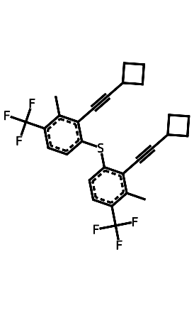 Cc1c(C(F)(F)F)ccc(Sc2ccc(C(F)(F)F)c(C)c2C#CC2CCC2)c1C#CC1CCC1